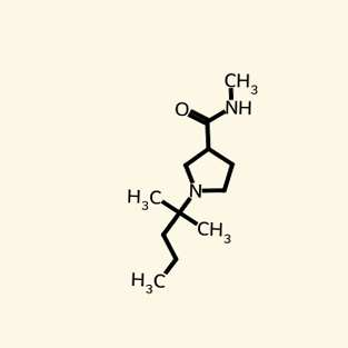 CCCC(C)(C)N1CCC(C(=O)NC)C1